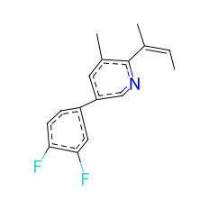 C/C=C(/C)c1ncc(-c2ccc(F)c(F)c2)cc1C